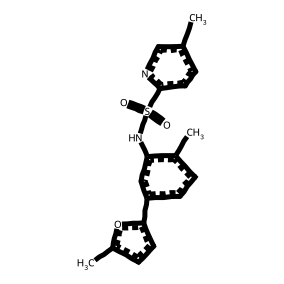 Cc1ccc(S(=O)(=O)Nc2cc(-c3ccc(C)o3)ccc2C)nc1